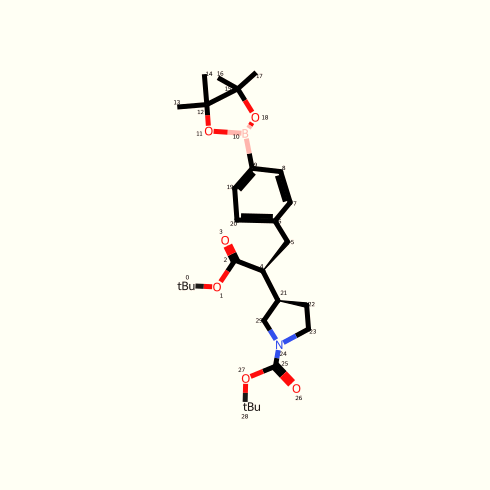 CC(C)(C)OC(=O)[C@@H](Cc1ccc(B2OC(C)(C)C(C)(C)O2)cc1)[C@H]1CCN(C(=O)OC(C)(C)C)C1